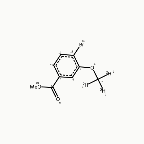 [2H]C([2H])([2H])Oc1cc(C(=O)OC)ccc1Br